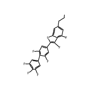 CCCc1cc(F)c2c(F)c(-c3cc(F)c(-c4cc(F)c(F)c(F)c4)c(F)c3)sc2c1